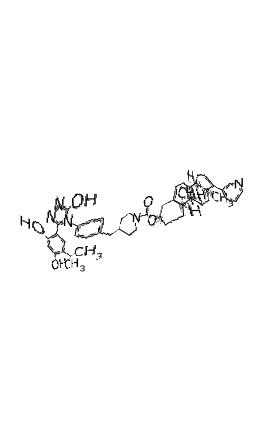 CC(C)c1cc(-c2nnc(O)n2-c2ccc(CC3CCN(C(=O)O[C@H]4CC[C@@]5(C)C(=CC[C@@H]6[C@@H]5CC[C@]5(C)C(c7cccnc7)=CC[C@@H]65)C4)CC3)cc2)c(O)cc1O